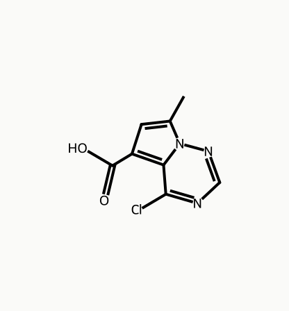 Cc1cc(C(=O)O)c2c(Cl)ncnn12